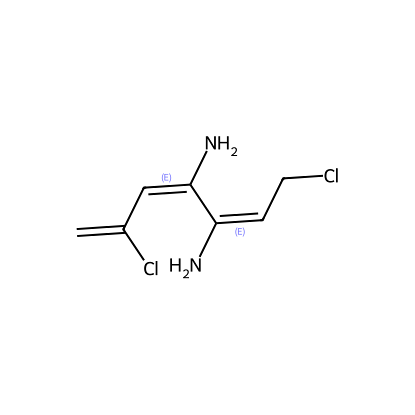 C=C(Cl)/C=C(N)\C(N)=C/CCl